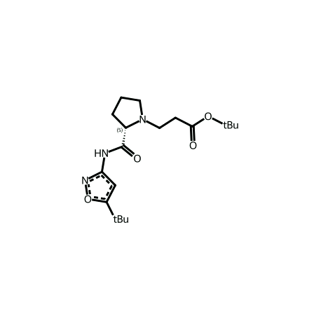 CC(C)(C)OC(=O)CCN1CCC[C@H]1C(=O)Nc1cc(C(C)(C)C)on1